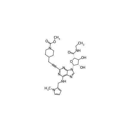 CCNC(=O)[C@H]1O[C@@H](n2cnc3c(NCc4cccn4C)nc(C#CCC4CCN(C(=O)OC)CC4)nc32)[C@@H](O)C1O